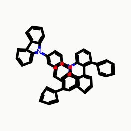 c1ccc(-c2cccc(N(c3ccc(-n4c5ccccc5c5ccccc54)cc3)c3cccc(-c4ccccc4)c3-c3ccccc3-c3ccccc3)c2)cc1